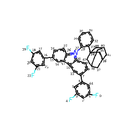 Fc1cc(F)cc(-c2ccc3c(c2)c2cc(-c4cc(F)cc(F)c4)ccc2n3-c2ccccc2C23CC4CC(CC(C4)C2)C3)c1